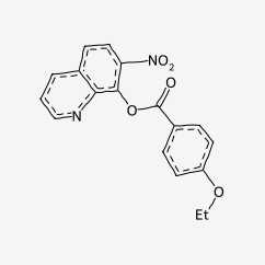 CCOc1ccc(C(=O)Oc2c([N+](=O)[O-])ccc3cccnc23)cc1